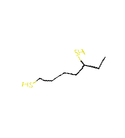 CCC(S)CCCCS